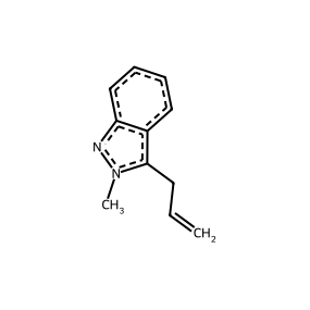 C=CCc1c2ccccc2nn1C